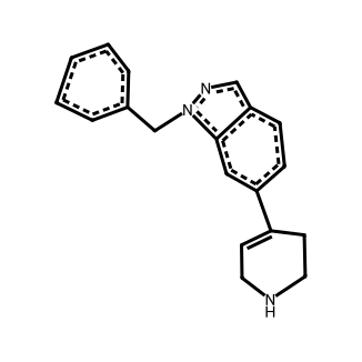 C1=C(c2ccc3cnn(Cc4ccccc4)c3c2)CCNC1